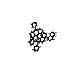 c1ccc(-c2c3ccccc3c(-n3c(-c4ccccc4)c(-c4ccccc4)c4ccc5c(-c6cccc7ccccc67)cccc5c43)c3ccccc23)cc1